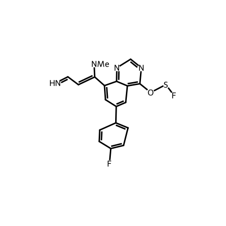 CN/C(=C\C=N)c1cc(-c2ccc(F)cc2)cc2c(OSF)ncnc12